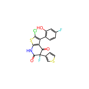 O=C1Nc2sc(Cl)c(-c3ccc(F)cc3O)c2C(=O)C1(F)c1ccsc1